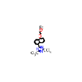 CCOCCOc1cccc2c(-c3nc(C(Cl)(Cl)Cl)nc(C(Cl)(Cl)Cl)n3)cccc12